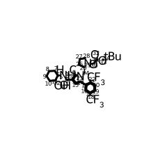 Cc1c(C(=O)N[C@@H]2CCCC[C@H]2O)cc(-c2cc(C(F)(F)F)ccc2C(F)(F)F)n1C[C@H]1CCCN1OC(=O)OC(C)(C)C